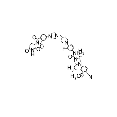 COc1cc(N2C[C@@H](C)N(C(=O)Nc3ccc(N4CCC(CN5CCN(c6ccc7c(c6)C(=O)N([C@@H]6CCC(=O)NC6=O)C7=O)CC5)CC4)c(F)c3)C[C@@H]2C)ccc1C#N